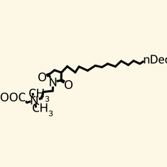 CCCCCCCCCCCCCCCCCCCCCCC1CC(=O)N(CCC[N+](C)(C)CC(=O)[O-])C1=O